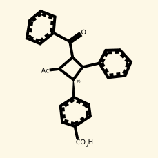 CC(=O)C1C(C(=O)c2ccccc2)C(c2ccccc2)[C@H]1c1ccc(C(=O)O)cc1